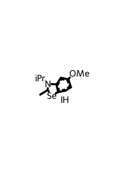 COc1ccc2c(c1)N(C(C)C)C(C)[Se]2.I